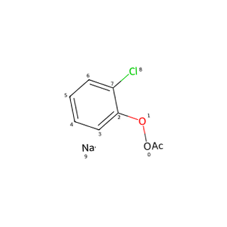 CC(=O)OOc1ccccc1Cl.[Na]